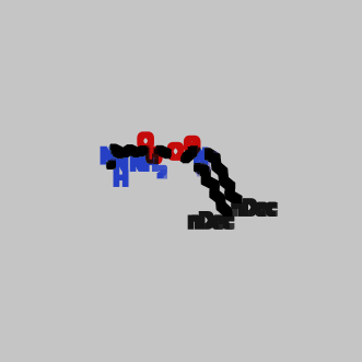 CCCCCCCCCCCCCCCC/C=C\N(/C=C/CCCCCCCCCCCCCCCC)C(=O)COCCOC(=O)C(N)Cc1cnc[nH]1